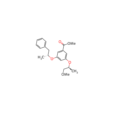 COC[C@H](C)Oc1cc(O[C@H](C)Cc2ccccc2)cc(C(=O)OC)c1